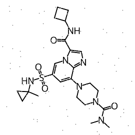 CN(C)C(=O)N1CCN(c2cc(S(=O)(=O)NC3(C)CC3)cn3c(C(=O)NC4CCC4)cnc23)CC1